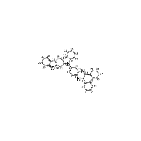 c1ccc(-c2nc3ccc(-n4c5ccccc5c5cc6c(cc54)oc4ccccc46)cc3nc2-c2ccccc2)cc1